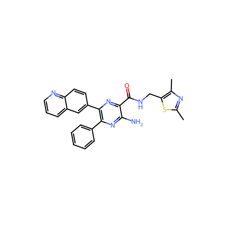 Cc1nc(C)c(CNC(=O)c2nc(-c3ccc4ncccc4c3)c(-c3ccccc3)nc2N)s1